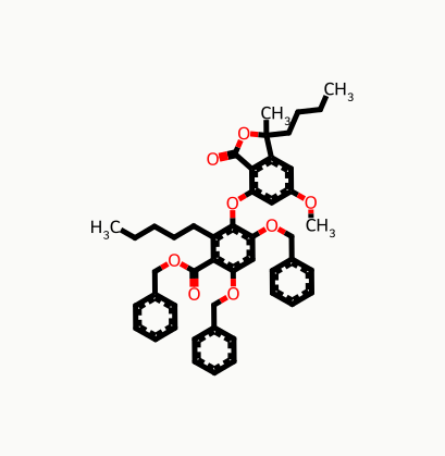 CCCCCc1c(Oc2cc(OC)cc3c2C(=O)OC3(C)CCCC)c(OCc2ccccc2)cc(OCc2ccccc2)c1C(=O)OCc1ccccc1